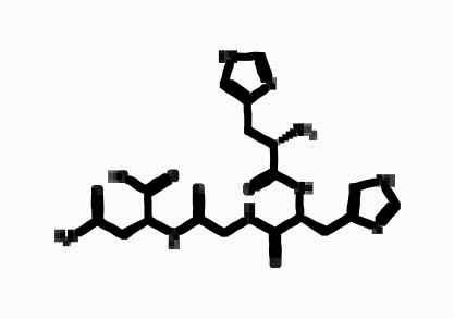 NC(=O)C[C@H](NC(=O)CNC(=O)[C@H](Cc1c[nH]cn1)NC(=O)[C@@H](N)Cc1c[nH]cn1)C(=O)O